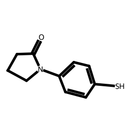 O=C1CCCN1c1ccc(S)cc1